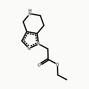 CCOC(=O)Cn1ncc2c1CCNC2